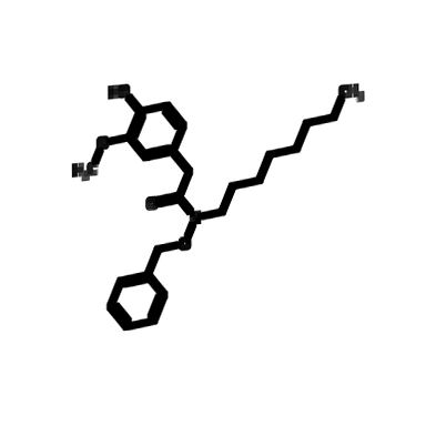 CCCCCCCCN(OCc1ccccc1)C(=O)Cc1ccc(O)c(OC)c1